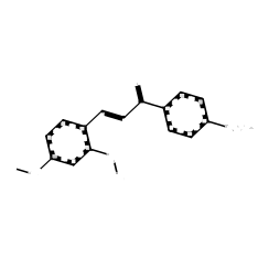 CCOc1ccc(C=CC(=O)c2ccc(NC)cc2)c(OCC)c1